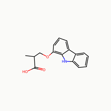 CC(COc1cccc2c1[nH]c1ccccc12)C(=O)O